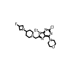 CCn1c(CN2CCC(N3CC(F)C3)CC2)nc2c(N3CCOCC3)nc(Cl)nc21